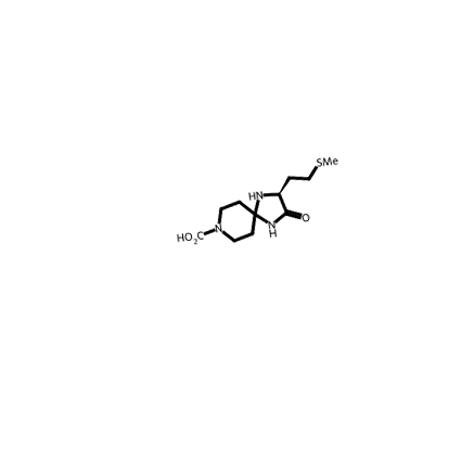 CSCC[C@@H]1NC2(CCN(C(=O)O)CC2)NC1=O